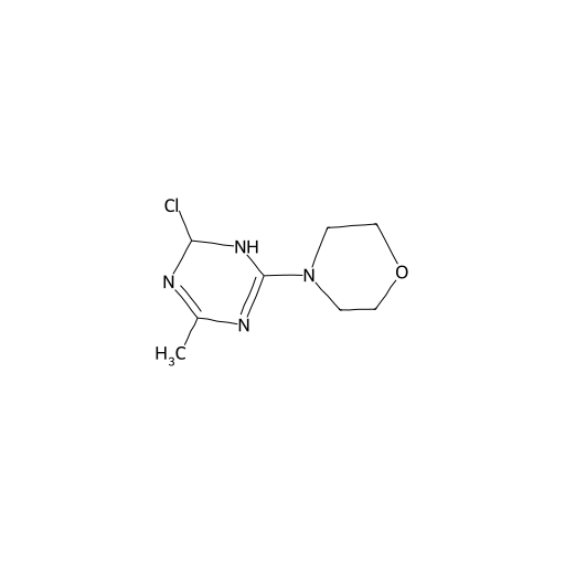 CC1=NC(Cl)NC(N2CCOCC2)=N1